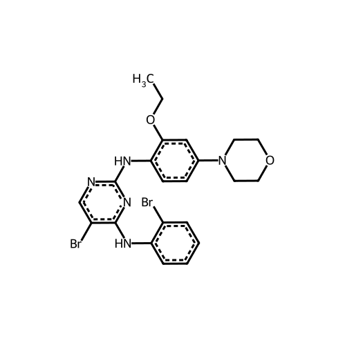 CCOc1cc(N2CCOCC2)ccc1Nc1ncc(Br)c(Nc2ccccc2Br)n1